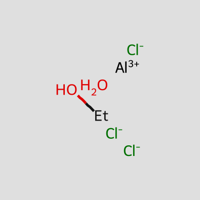 CCO.O.[Al+3].[Cl-].[Cl-].[Cl-]